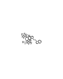 CC1(C(F)(F)C(F)(F)F)CCC(C)(C(F)(F)C(F)(F)F)c2cc3c(cc21)C=CC3CCC1C=Cc2ccccc21